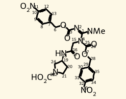 CNC(=NC(=O)OCc1ccc([N+](=O)[O-])cc1)N(CC(=O)N[C@H]1CCN(C(=O)O)C1)C(=O)OCc1ccc([N+](=O)[O-])cc1